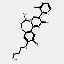 COCCCOc1cc2c(cc1Cl)-c1cc(=O)c(-c3ncccc3C)cn1[C@H](C(C)C)CO2